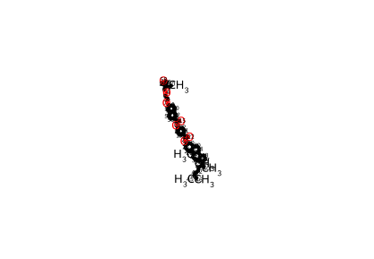 CCC1(COCCOc2ccc3cc(C(=O)Oc4ccc(C(=O)OC5CCC6(C)C(=CCC7C6CCC6(C)C(C(C)CCCC(C)C)CCC76)C5)cc4)ccc3c2)COC1